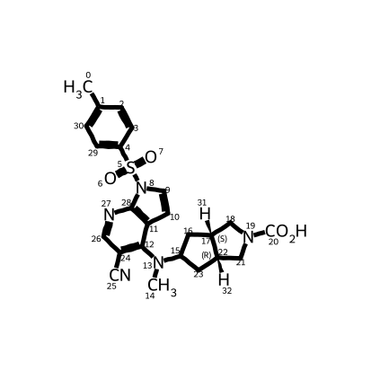 Cc1ccc(S(=O)(=O)n2ccc3c(N(C)C4C[C@@H]5CN(C(=O)O)C[C@@H]5C4)c(C#N)cnc32)cc1